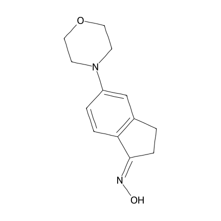 O/N=C1\CCc2cc(N3CCOCC3)ccc21